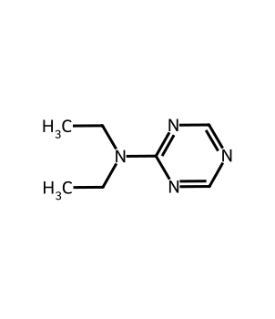 CCN(CC)c1ncncn1